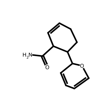 NC(=O)C1C=CCCC1C1C=CC=CO1